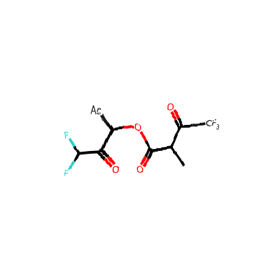 CC(=O)C(OC(=O)C(C)C(=O)C(F)(F)F)C(=O)C(F)F